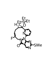 CC[Si](CC)(CC)OC1(C)CCC=C(F)Cn2c(=O)c3cnc(SC)nc3n2-c2cccc1n2